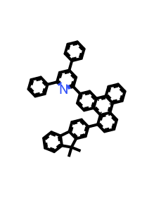 CC1(C)c2ccccc2-c2ccc(-c3cccc4c5ccccc5c5cc(-c6cc(-c7ccccc7)cc(-c7ccccc7)n6)ccc5c34)cc21